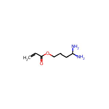 C=CC(=O)OCCCC(N)N